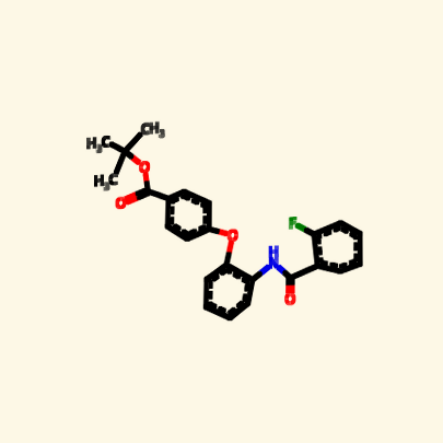 CC(C)(C)OC(=O)c1ccc(Oc2ccccc2NC(=O)c2ccccc2F)cc1